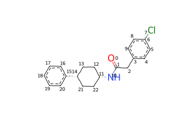 O=C(Cc1ccc(Cl)cc1)N[C@H]1CC[C@@H](c2ccccc2)CC1